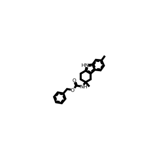 Cc1ccc2c3c([nH]c2c1)CCC(C)(NC(=O)OCc1ccccc1)C3